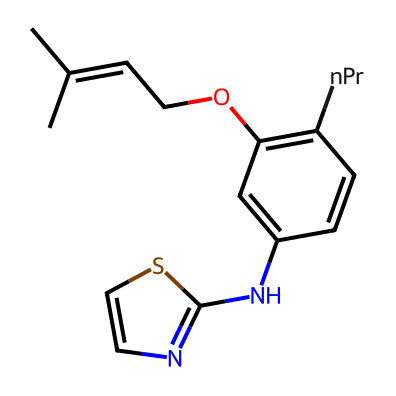 CCCc1ccc(Nc2nccs2)cc1OCC=C(C)C